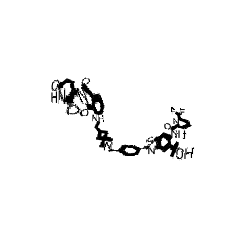 CC(C)(O)c1cc2nc([C@H]3CC[C@H](CN4CC5(CC(CCNc6cccc7c6C(=O)N(C6CCC(=O)NC6=O)C7=O)C5)C4)CC3)sc2cc1NC(=O)c1cccc(C(F)F)n1